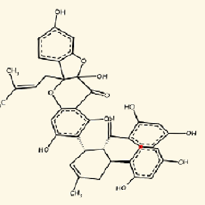 CC(C)=CCC12Oc3cc(O)c([C@H]4C=C(C)C[C@H](c5ccc(O)cc5O)[C@H]4C(=O)c4ccc(O)cc4O)c(O)c3C(=O)C1(O)Oc1cc(O)ccc12